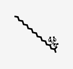 CCCCCCCCCCCCCCCC(C[C](C)C)[Si](OC)(OC)OC